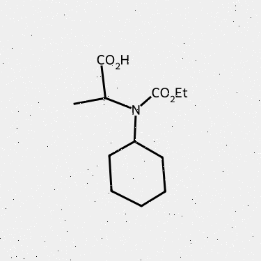 CCOC(=O)N(C1CCCCC1)C(C)C(=O)O